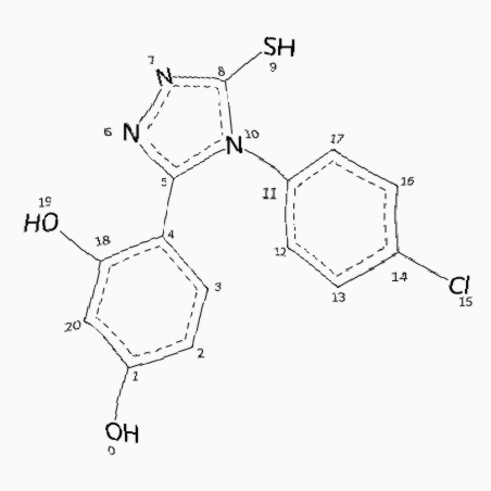 Oc1ccc(-c2nnc(S)n2-c2ccc(Cl)cc2)c(O)c1